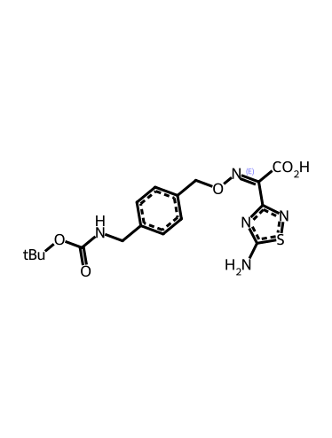 CC(C)(C)OC(=O)NCc1ccc(CO/N=C(/C(=O)O)c2nsc(N)n2)cc1